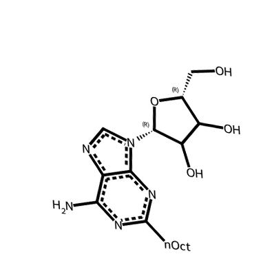 CCCCCCCCc1nc(N)c2ncn([C@@H]3O[C@H](CO)C(O)C3O)c2n1